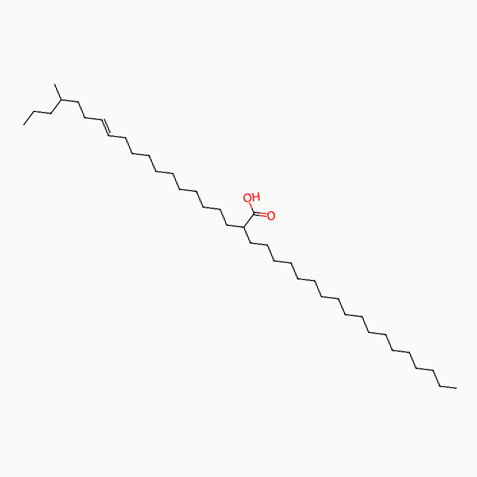 CCCCCCCCCCCCCCCCCCC(CCCCCCCCCCC=CCCC(C)CCC)C(=O)O